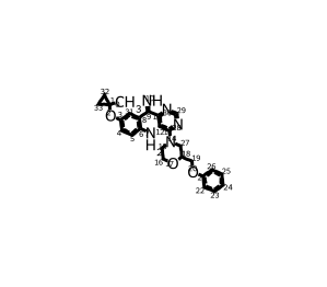 CC1(Oc2ccc(N)c(C(=N)c3cc(N4CCOC(COc5ccccc5)C4)ncn3)c2)CC1